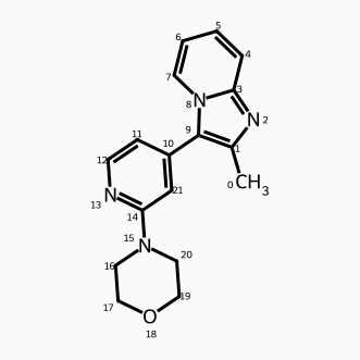 Cc1nc2ccccn2c1-c1ccnc(N2CCOCC2)c1